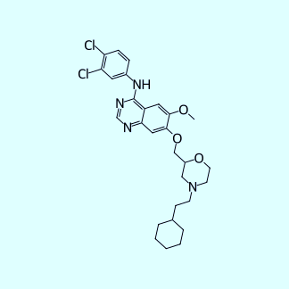 COc1cc2c(Nc3ccc(Cl)c(Cl)c3)ncnc2cc1OCC1CN(CCC2CCCCC2)CCO1